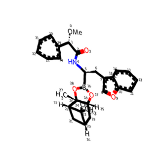 CO[C@H](C(=O)N[C@@H](Cc1coc2ccccc12)B1O[C@@H]2C[C@@H]3C[C@@H](C3(C)C)[C@]2(C)O1)c1ccccc1